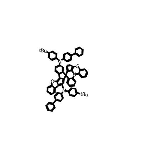 CC(C)(C)c1ccc(N(c2ccc(-c3ccccc3)cc2)c2ccc3c(c2)C2(c4ccccc4N4c5ccccc5Sc5cccc2c54)c2cc(N(c4ccc(-c5ccccc5)cc4)c4ccc(C(C)(C)C)cc4)c4c(oc5ccccc54)c2-3)cc1